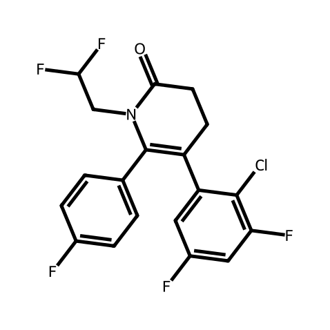 O=C1CCC(c2cc(F)cc(F)c2Cl)=C(c2ccc(F)cc2)N1CC(F)F